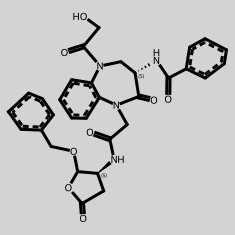 O=C(CN1C(=O)[C@@H](NC(=O)c2ccccc2)CN(C(=O)CO)c2ccccc21)N[C@H]1CC(=O)OC1OCc1ccccc1